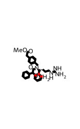 COC(=O)Cc1ccc(CN(C(=O)C(c2ccccc2)c2ccccc2)[C@H](CCCNC(=N)N)C(N)=O)cc1